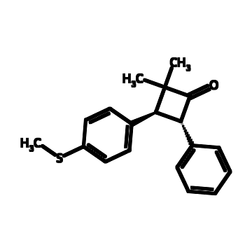 CSc1ccc([C@@H]2[C@@H](c3ccccc3)C(=O)C2(C)C)cc1